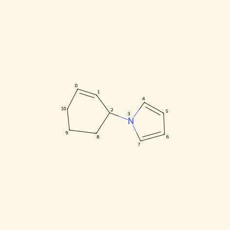 C1=CC(n2cccc2)CCC1